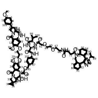 COc1ccc(C2=CN3C(=O)c4cc(OC)c(OCCCOc5cc6c(cc5OC)C(=O)N5CC7(CC7)C[C@H]5C(O)N6C(=O)OCc5ccc(NC(=O)[C@H](C)NC(=O)[C@@H](NC(=O)COCCOCCNC(=O)CCC(=O)N6Cc7ccccc7-c7nnn(C(C)C)c7-c7ccccc76)C(C)C)cc5)cc4NC[C@@H]3C2)cc1